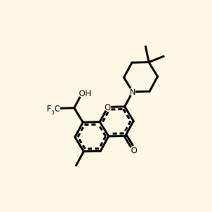 Cc1cc(C(O)C(F)(F)F)c2oc(N3CCC(C)(C)CC3)cc(=O)c2c1